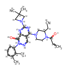 C=CC(=O)N1CCN(c2nc(N3CC(C)(C#N)C3)nc3c(=O)n(-c4cccc(C)c4C(F)(F)F)ncc23)CC1CC#N